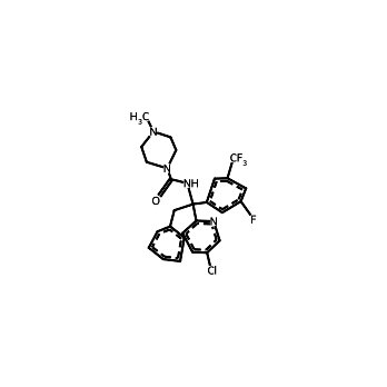 CN1CCN(C(=O)NC(Cc2ccccc2)(c2cc(F)cc(C(F)(F)F)c2)c2ccc(Cl)cn2)CC1